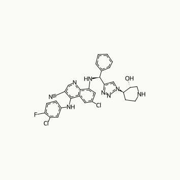 N#Cc1cnc2c(N[C@@H](c3ccccc3)c3cn([C@@H]4CCNC[C@H]4O)nn3)cc(Cl)cc2c1Nc1ccc(F)c(Cl)c1